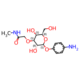 CNC(=O)CO[C@H]1[C@@H](O)[C@@H](CO)O[C@@H](Oc2ccc(N)cc2)[C@@H]1O